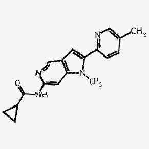 Cc1ccc(-c2cc3cnc(NC(=O)C4CC4)cc3n2C)nc1